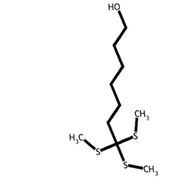 CSC(CCCCCCO)(SC)SC